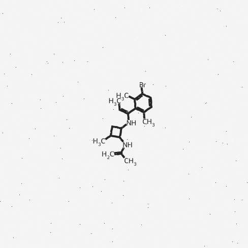 C=C(C)NC1C(C)CC1N/C(=C/C)c1c(C)ccc(Br)c1C